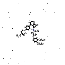 COc1ccc(CNC(=O)/C(C#N)=C/c2c[nH]c3nccc(-c4ccc(C5CCN(C)CC5)cc4)c23)cc1OC